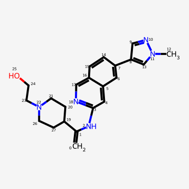 C=C(Nc1cc2cc(-c3cnn(C)c3)ccc2cn1)C1CCN(CCO)CC1